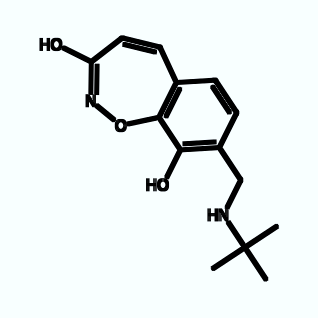 CC(C)(C)NCc1ccc2c(c1O)ON=C(O)C=C2